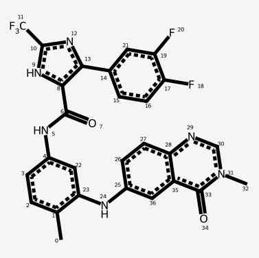 Cc1ccc(NC(=O)c2[nH]c(C(F)(F)F)nc2-c2ccc(F)c(F)c2)cc1Nc1ccc2ncn(C)c(=O)c2c1